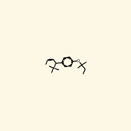 C/C=C\C(c1ccc(OC(C)(C)CC)cc1)C(C)(C)C